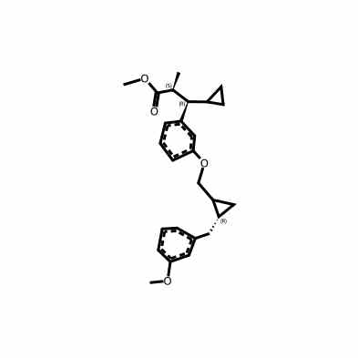 COC(=O)[C@@H](C)[C@H](c1cccc(OCC2C[C@@H]2Cc2cccc(OC)c2)c1)C1CC1